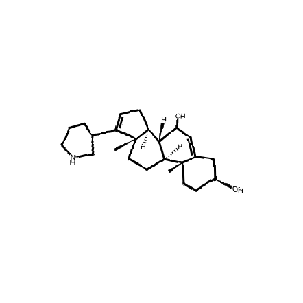 C[C@]12CC[C@H](O)CC1=CC(O)[C@@H]1[C@@H]2CC[C@]2(C)C(C3CCCNC3)=CC[C@@H]12